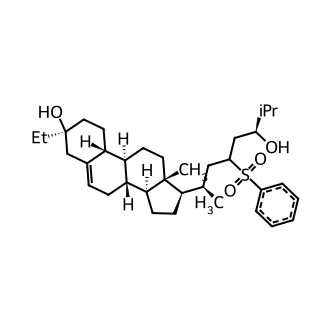 CC[C@]1(O)CC[C@H]2C(=CC[C@@H]3[C@@H]2CC[C@]2(C)[C@@H]([C@H](C)CC(C[C@H](O)C(C)C)S(=O)(=O)c4ccccc4)CC[C@@H]32)C1